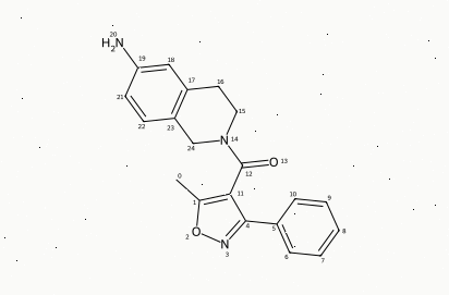 Cc1onc(-c2ccccc2)c1C(=O)N1CCc2cc(N)ccc2C1